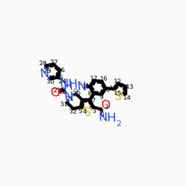 NC(=O)c1sc2c(c1-c1cc(-c3cccs3)ccc1N)CN(C(=O)Nc1cccnc1)CC2